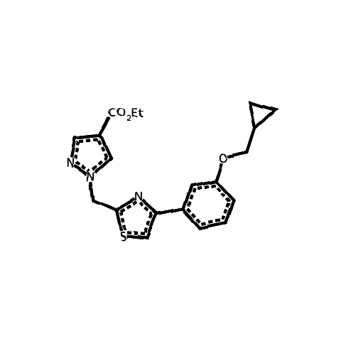 CCOC(=O)c1cnn(Cc2nc(-c3cccc(OCC4CC4)c3)cs2)c1